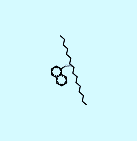 CCCCCCCCCCCCCCCC.COc1cccc2ccccc12